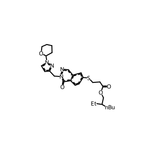 CCCCC(CC)COC(=O)CCSc1ccc2c(=O)n(Cc3ccn(C4CCCCO4)n3)ncc2c1